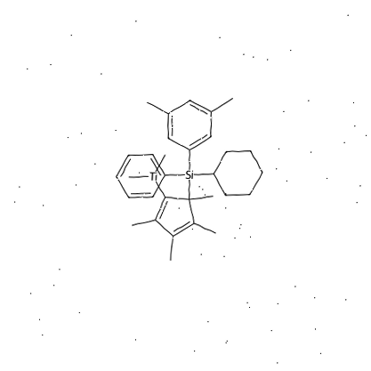 CC1=C(C)C(C)([Si](c2ccccc2)(c2cc(C)cc(C)c2)C2CCCCC2)[C]([Ti]([CH3])[CH3])=C1C